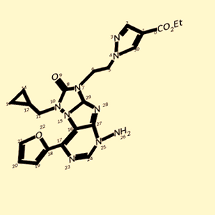 CCOC(=O)c1cnn(CCN2C(=O)N(CC3CC3)N3C4=C(c5ccco5)N=CN(N)C4=NC23)c1